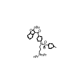 CCCCc1oc2ccccc2c1C(=O)c1ccc(N(CCCN(CCC)CCC)S(=O)(=O)c2ccc(C)cc2)cc1